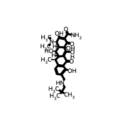 C[C@@H]1c2ccc(CNCC(C)(C)C)c(O)c2C(=O)C2=C(O)[C@@]3(O)C(=O)C(C(N)=O)=C(O)[C@@H](N(C)C)[C@@H]3[C@H](O)[C@H]21